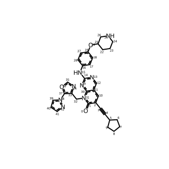 O=c1c(C#CC2CCCC2)cc2cnc(Nc3ccc(OC4CCCNC4)cc3)nc2n1Cc1ncoc1-n1cccn1